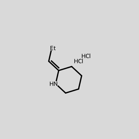 CCC=C1CCCCN1.Cl.Cl